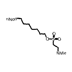 CCCCCCCCCCCCCCCCOS(=O)(=O)CCNC